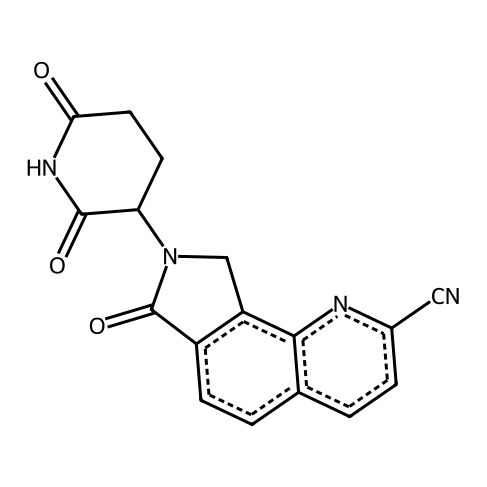 N#Cc1ccc2ccc3c(c2n1)CN(C1CCC(=O)NC1=O)C3=O